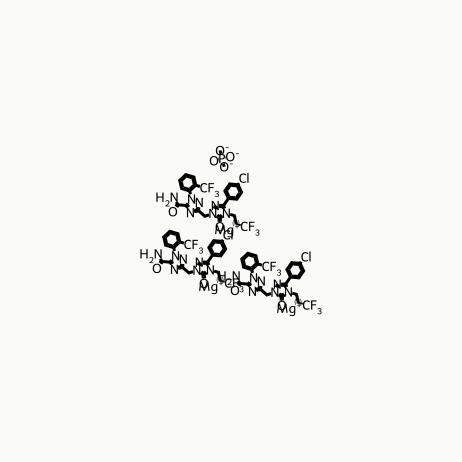 NC(=O)c1nc(Cn2nc(-c3ccc(Cl)cc3)n(C[C@H]([Mg+])C(F)(F)F)c2=O)nn1-c1ccccc1C(F)(F)F.NC(=O)c1nc(Cn2nc(-c3ccc(Cl)cc3)n(C[C@H]([Mg+])C(F)(F)F)c2=O)nn1-c1ccccc1C(F)(F)F.NC(=O)c1nc(Cn2nc(-c3ccc(Cl)cc3)n(C[C@H]([Mg+])C(F)(F)F)c2=O)nn1-c1ccccc1C(F)(F)F.O=P([O-])([O-])[O-]